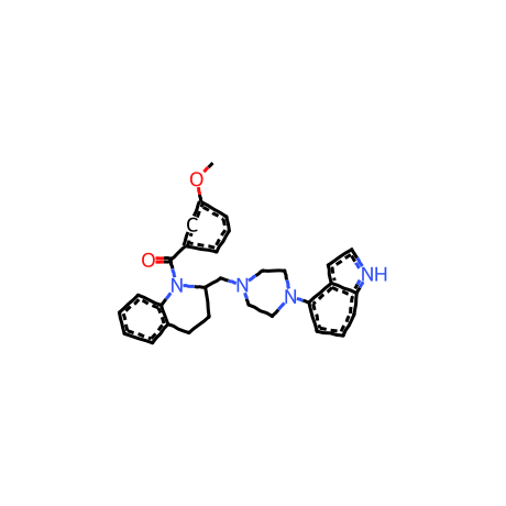 COc1cccc(C(=O)N2c3ccccc3CCC2CN2CCN(c3cccc4[nH]ccc34)CC2)c1